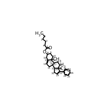 CCCCCC(=O)OC1CCC2(C)C(=CCC3C2CCC2(C)C(c4cccnc4)=CCC32)C1